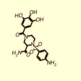 NC(=O)C1CN(C(=O)c2cc(O)c(O)c(O)c2)CCN1S(=O)(=O)c1ccc(N)cc1